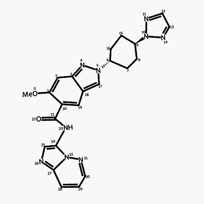 COc1cc2nn([C@H]3CC[C@H](n4nccn4)CC3)cc2cc1C(=O)Nc1cnc2cccnn12